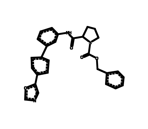 O=C(Nc1cccc(-c2ccc(-c3cnco3)cc2)c1)C1CCCN1C(=O)OCc1ccccc1